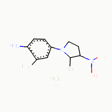 CCC1C(N(O)O)CCN1c1ccc(N)c(C)c1.Cl.Cl